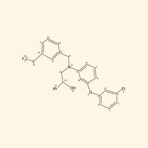 CCc1cccc(Oc2cccc(N(Cc3cccc(SC(F)(F)F)c3)CC(O)C(C)C)c2)c1